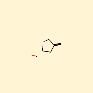 C=C1CN[C@@H](CO)C1.Cl